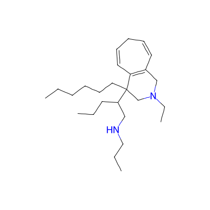 CCCCCCC1(C(CCC)CNCCC)CN(CC)CC2=C1C=CCC=C2